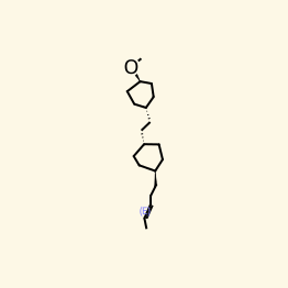 C/C=C/CC[C@H]1CC[C@H](CC[C@H]2CC[C@H](OC)CC2)CC1